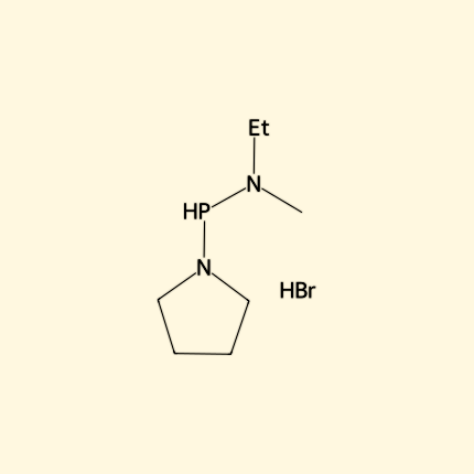 Br.CCN(C)PN1CCCC1